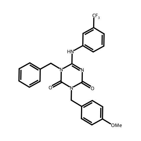 COc1ccc(Cn2c(=O)nc(Nc3cccc(C(F)(F)F)c3)n(Cc3ccccc3)c2=O)cc1